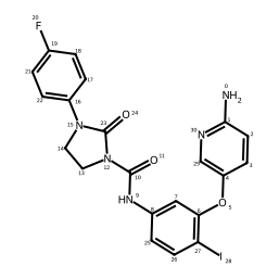 Nc1ccc(Oc2cc(NC(=O)N3CCN(c4ccc(F)cc4)C3=O)ccc2I)cn1